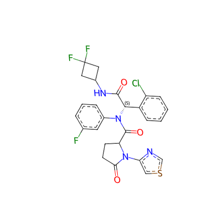 O=C(NC1CC(F)(F)C1)[C@H](c1ccccc1Cl)N(C(=O)C1CCC(=O)N1c1cscn1)c1cccc(F)c1